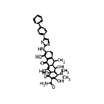 CC1c2ccc(Nc3nc(-c4ccc(-c5ccccc5)cc4)cs3)c(O)c2C(=O)C2=C(O)C3(O)C(=O)C(C(N)=O)=C(O)C(N(C)C)C3C(O)C21